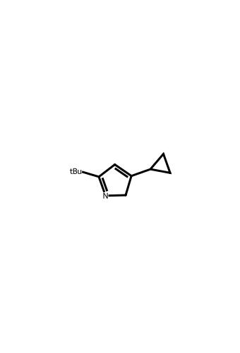 CC(C)(C)C1=NCC(C2CC2)=C1